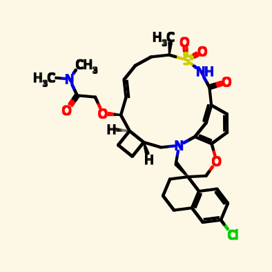 C[C@@H]1CC/C=C/[C@H](OCC(=O)N(C)C)[C@@H]2CC[C@H]2CN2C[C@@]3(CCCc4cc(Cl)ccc43)COc3ccc(cc32)C(=O)NS1(=O)=O